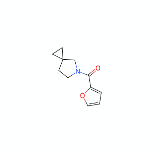 O=C(c1ccco1)N1CCC2(CC2)C1